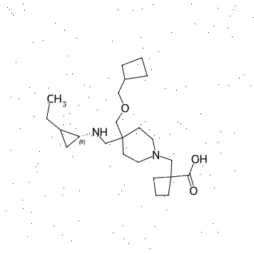 CCC1C[C@H]1NCC1(COCC2CCC2)CCN(CC2(C(=O)O)CCC2)CC1